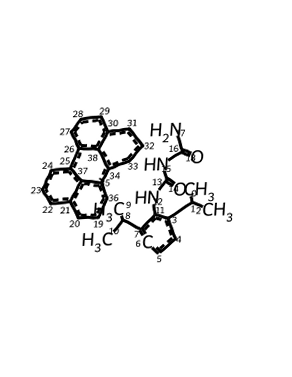 CC(C)c1cccc(C(C)C)c1NC(=O)NC(N)=O.c1cc2cccc3c4cccc5cccc(c(c1)c23)c54